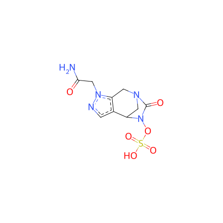 NC(=O)Cn1ncc2c1CN1CC2N(OS(=O)(=O)O)C1=O